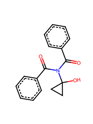 O=C(c1ccccc1)N(C(=O)c1ccccc1)C1(O)CC1